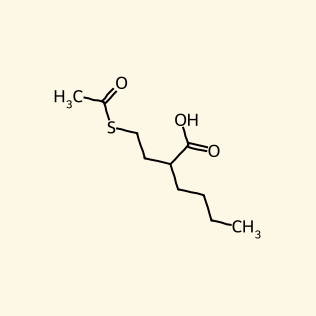 CCCCC(CCSC(C)=O)C(=O)O